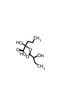 CCCC(O)(OC(=O)C(O)CC)C(=O)O